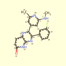 CNc1cc(-c2nc3ccc(=O)[nH]c3nc2-c2cccc(F)c2)cc(C)n1